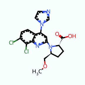 COC[C@@H]1CC[C@@H](C(=O)O)N1c1cc(-n2ccnc2)c2ccc(Cl)c(Cl)c2n1